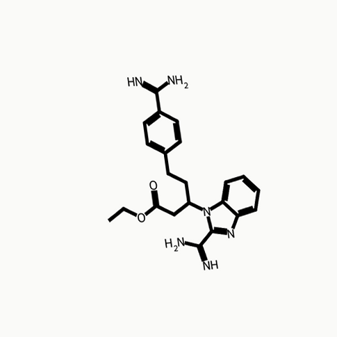 CCOC(=O)CC(CCc1ccc(C(=N)N)cc1)n1c(C(=N)N)nc2ccccc21